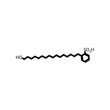 O=S(=O)(O)c1ccccc1CCCCCCCCCCCCCCCCO